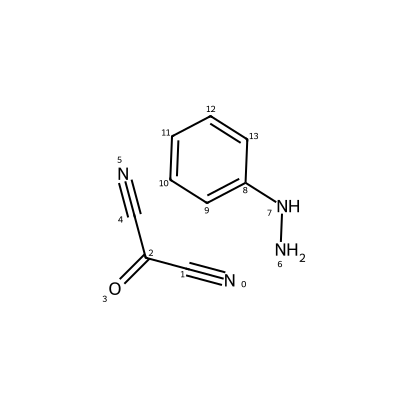 N#CC(=O)C#N.NNc1ccccc1